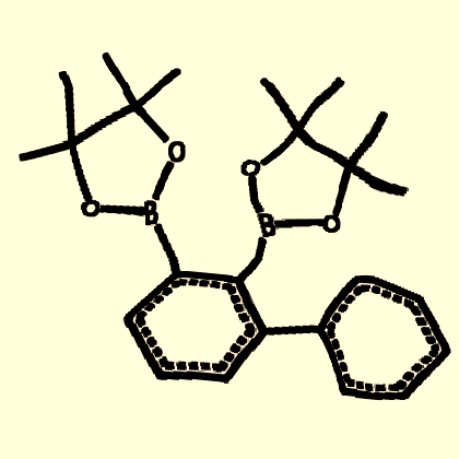 CC1(C)OB(c2cccc(-c3ccccc3)c2B2OC(C)(C)C(C)(C)O2)OC1(C)C